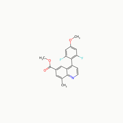 COC(=O)c1cc(C)c2nccc(-c3c(F)cc(OC)cc3F)c2c1